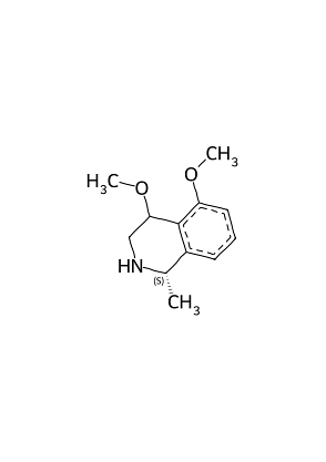 COc1cccc2c1C(OC)CN[C@H]2C